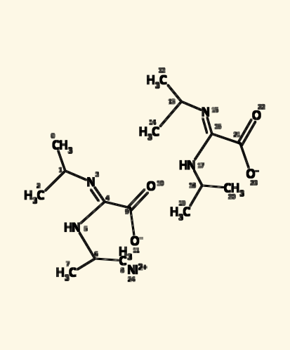 CC(C)N=C(NC(C)C)C(=O)[O-].CC(C)N=C(NC(C)C)C(=O)[O-].[Ni+2]